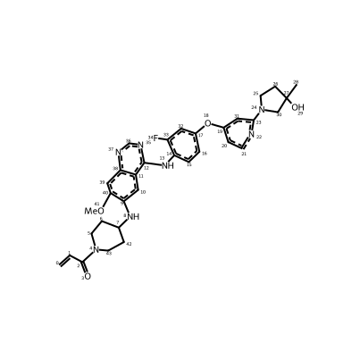 C=CC(=O)N1CCC(Nc2cc3c(Nc4ccc(Oc5ccnc(N6CCC(C)(O)C6)c5)cc4F)ncnc3cc2OC)CC1